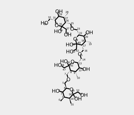 C[C@H]1C(O)[C@@H](COC[C@H]2[C@@H](C)C(O)[C@@H](COC[C@H]3[C@@H](C)C(O)[C@@H](COC[C@H]4[C@@H](C)C(O)[C@@H](CO)OC4(O)CO)OC3(O)CO)OC2(O)CO)OC(O)(CO)[C@H]1C